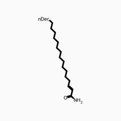 CCCCCCCCCCCCCCCCCCCCCCCC=CC(N)=O